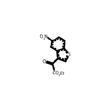 CCOC(=O)C(=O)c1csc2ccc([N+](=O)[O-])cc12